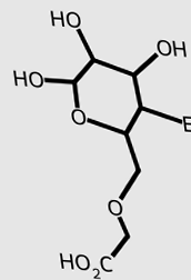 CCC1C(COCC(=O)O)OC(O)C(O)C1O